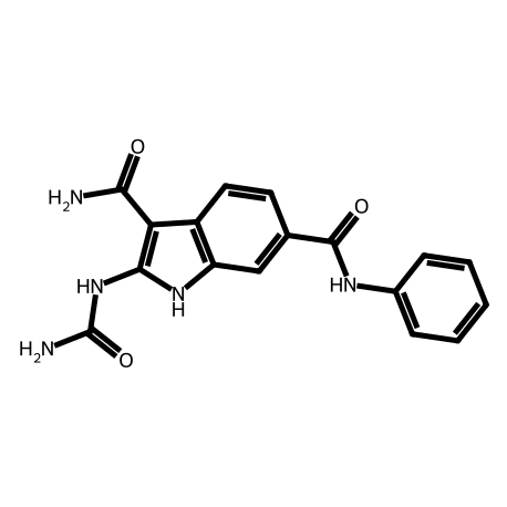 NC(=O)Nc1[nH]c2cc(C(=O)Nc3ccccc3)ccc2c1C(N)=O